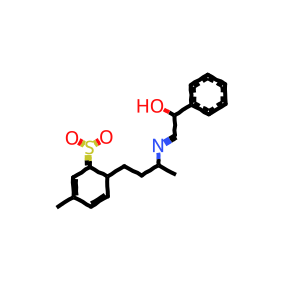 CC1=CC(=S(=O)=O)C(CCC(C)N=CC(O)c2ccccc2)C=C1